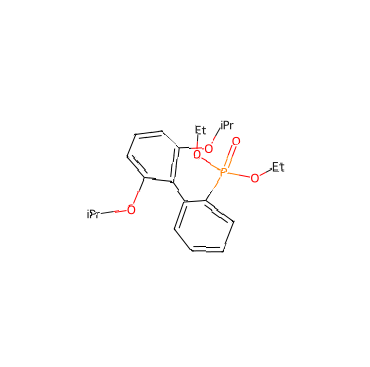 CCOP(=O)(OCC)c1ccccc1-c1c(OC(C)C)cccc1OC(C)C